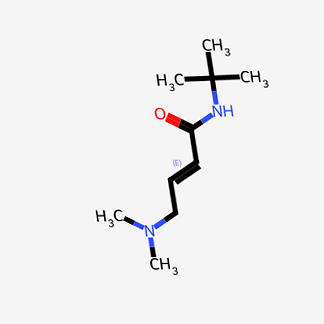 CN(C)C/C=C/C(=O)NC(C)(C)C